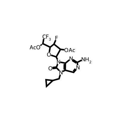 CC(=O)OC1C(F)C([C@@H](OC(C)=O)C(F)(F)F)OC1n1c(=O)n(CC2CC2)c2cnc(N)nc21